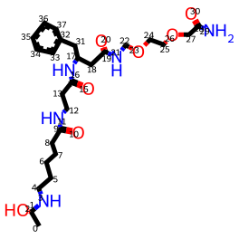 CC(O)NCCCCCC(=O)NCCC(=O)NC(CC(=O)NCOCCOCC(N)=O)Cc1ccccc1